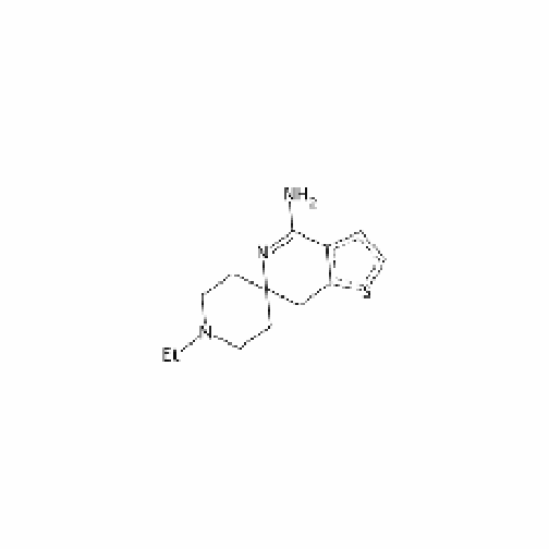 CCN1CCC2(CC1)Cc1sccc1C(N)=N2